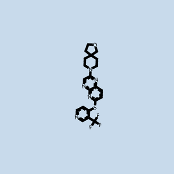 FC(F)(F)c1cnccc1Sc1ccc2nc(N3CCC4(CCOC4)CC3)cnc2n1